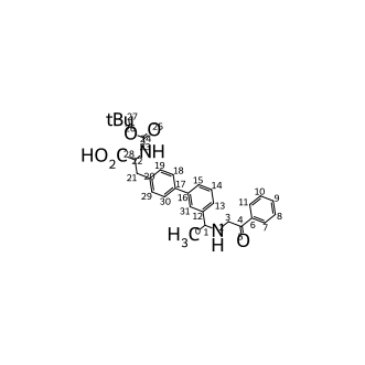 CC(NCC(=O)c1ccccc1)c1cccc(-c2ccc(CC(NC(=O)OC(C)(C)C)C(=O)O)cc2)c1